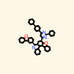 c1ccc(-c2ccc(-c3cc(-c4cc5c(-c6ccc7oc8ccccc8c7c6)nc6ccccc6c5c5c4oc4ccccc45)nc(-c4ccccc4)n3)cc2)cc1